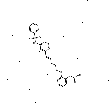 O=C(O)Cc1ccccc1OCCC/C=C/c1cccc(NS(=O)(=O)c2ccccc2)c1